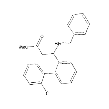 COC(=O)CC(NCc1ccccc1)c1ccccc1-c1ccccc1Cl